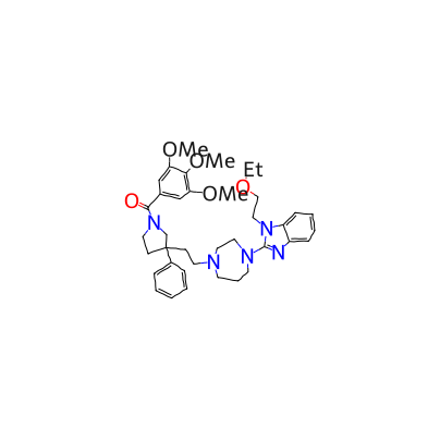 CCOCCn1c(N2CCCN(CCC3(c4ccccc4)CCN(C(=O)c4cc(OC)c(OC)c(OC)c4)C3)CC2)nc2ccccc21